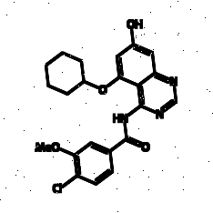 COc1cc(C(=O)Nc2ncnc3cc(O)cc(OC4CCCCC4)c23)ccc1Cl